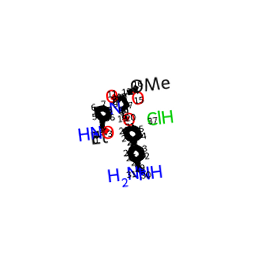 CCNC(=O)c1cccc(N2C(=O)[C@H](CC(=O)OC)C[C@H]2COc2ccc(-c3ccc(C(=N)N)cc3)cc2)c1.Cl